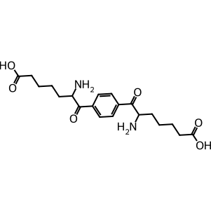 NC(CCCCC(=O)O)C(=O)c1ccc(C(=O)C(N)CCCCC(=O)O)cc1